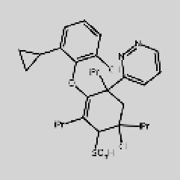 Cc1cccc(C2CC2)c1OC1=C(C(C)C)C(S(=O)(=O)O)C(Cl)(C(C)C)CC1(c1cccnn1)C(C)C